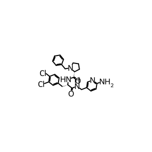 Nc1ccc(CNC(=O)[C@H](Cc2ccc(Cl)c(Cl)c2)NC(=O)[C@H]2CCCN2Cc2ccccc2)cn1